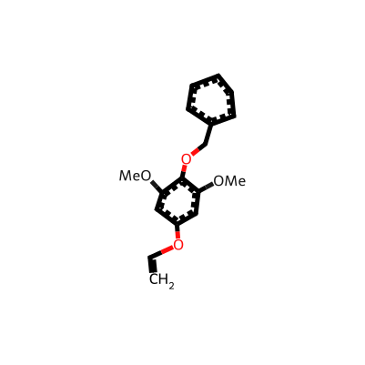 C=COc1cc(OC)c(OCc2ccccc2)c(OC)c1